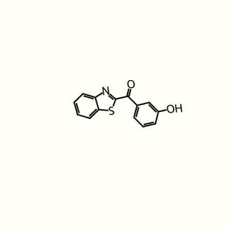 O=C(c1cccc(O)c1)c1nc2ccccc2s1